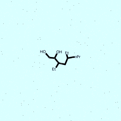 CCCC(CC)CC(CC)C(O)CO